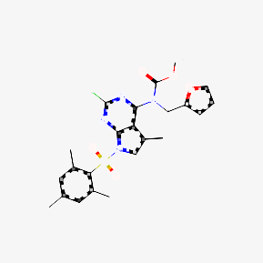 Cc1cc(C)c(S(=O)(=O)n2cc(C)c3c(N(Cc4ccco4)C(=O)OC(C)(C)C)nc(Cl)nc32)c(C)c1